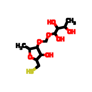 CC(O)C(O)C(O)OCOC1C(C)OC(CS)C1O